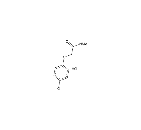 CNC(=O)COc1ccc(Cl)cc1.Cl